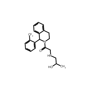 CC(O)CNCC(=O)N1CCc2ccccc2C1c1ccccc1C(F)(F)F